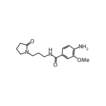 COc1cc(C(=O)NCCCN2CCCC2=O)ccc1N